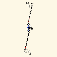 CCCCCCCCCCCCCCCCCCCCCCCc1ccc(N=CC=Nc2ccc(CCCCCCCCCCCCCCCCCCCCCCC)cc2)cc1.[Ni]